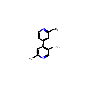 Cc1cc(-c2cc(C)ncc2C(=O)O)ccn1